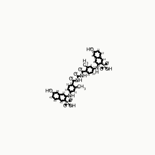 Cc1cc(Nc2cc3cc(O)ccc3cc2S(=O)(=O)O)ccc1C(=O)NC(=O)NC(=O)c1ccc(Nc2cc3cc(O)ccc3cc2S(=O)(=O)O)cc1C